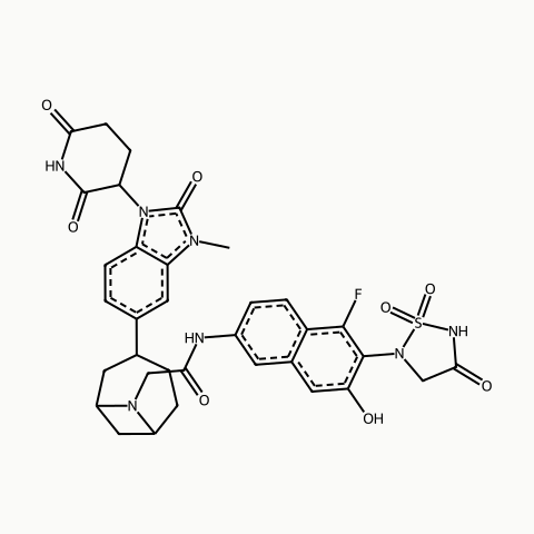 Cn1c(=O)n(C2CCC(=O)NC2=O)c2ccc(C3CCC4CC(C3)N4CC(=O)Nc3ccc4c(F)c(N5CC(=O)NS5(=O)=O)c(O)cc4c3)cc21